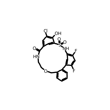 O=C1NCCOCc2ccccc2-c2cc(c(F)cc2F)NS(=O)(=O)c2cc1cc(Cl)c2O